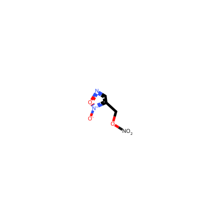 O=[N+]([O-])OCc1cno[n+]1[O-]